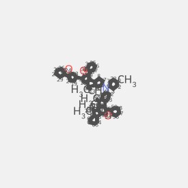 Cc1ccc(N(c2ccc3c(c2)C(C)(C)c2cc(-c4ccc5c(c4)oc4ccccc45)c4oc5ccccc5c4c2-3)c2ccc3c(c2)C(C)(C)c2c4c(c5oc6ccccc6c5c2-3)-c2ccccc2C4(C)C)cc1